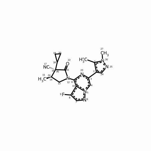 Cc1c(-c2cn3ncc(F)c3c(N3C[C@@H](C)[C@@](C#N)(C4CC4)C3=O)n2)cnn1C